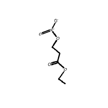 CCOC(=O)CCO[N+](=O)[O-]